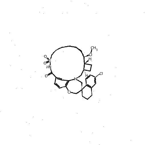 CO[C@@H]1CCCCCCS(=O)(=O)NC(=O)c2ccc3c(c2)N(C[C@@H]2CC[C@H]21)C[C@@]1(CCCc2cc(Cl)ccc21)CO3